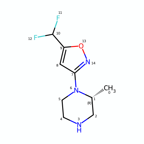 C[C@@H]1CNCCN1c1cc(C(F)F)on1